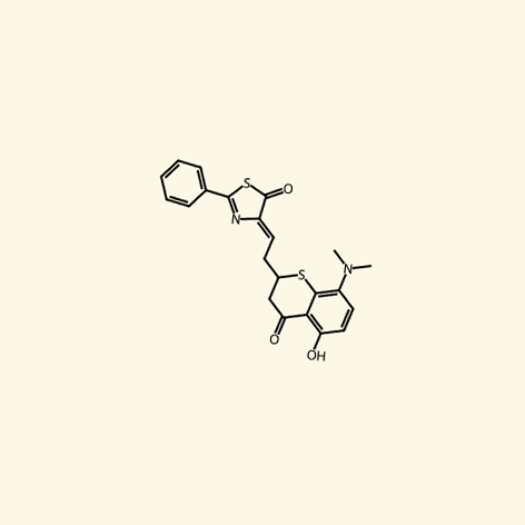 CN(C)c1ccc(O)c2c1SC(CC=C1N=C(c3ccccc3)SC1=O)CC2=O